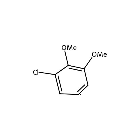 COc1c[c]cc(Cl)c1OC